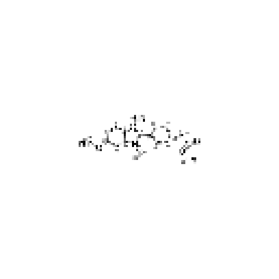 CCCOc1ccc2c(C#N)c(-c3ccc(NC(=O)OC(C)C)cc3)n(C(C)C)c2c1